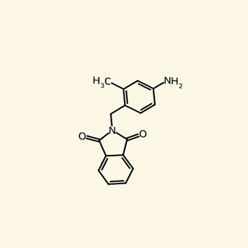 Cc1cc(N)ccc1CN1C(=O)c2ccccc2C1=O